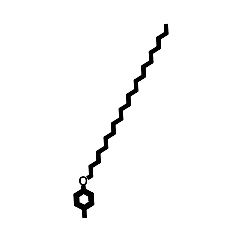 CCCCCCCCCCCCCCCCCCCCCCOc1ccc(C)cc1